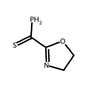 PC(=S)C1=NCCO1